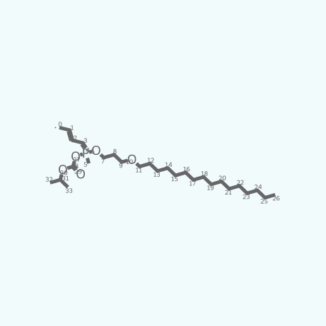 [CH2]C=CC=P(C)(OCCCOCCCCCCCCCCCCCCCC)OC(=O)OC(C)C